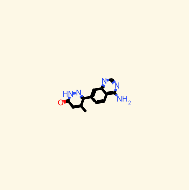 CC1CC(=O)NN=C1c1ccc2c(N)ncnc2c1